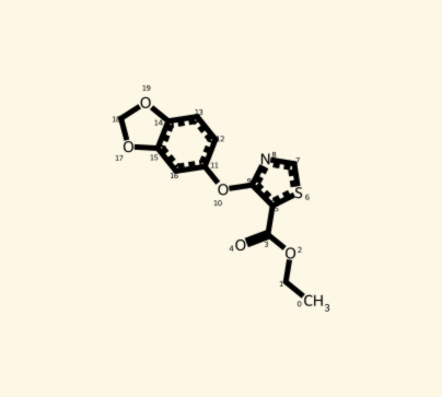 CCOC(=O)c1scnc1Oc1ccc2c(c1)OCO2